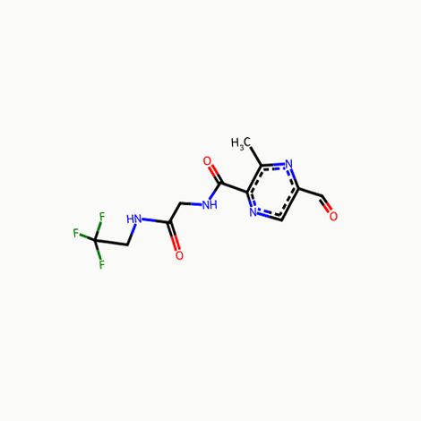 Cc1nc(C=O)cnc1C(=O)NCC(=O)NCC(F)(F)F